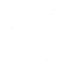 CCCNC(=O)c1ccc(Cn2ccc3cc(C(=N)N)ccc32)c(-c2ccc(OC)cc2C(=O)O)c1